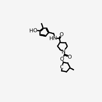 Cc1cc(CNC(=O)C2CCN(C(=O)O[C@@H]3CCCC(C)C3)CC2)ccc1O